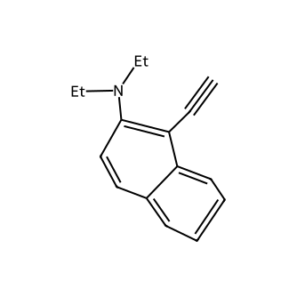 C#Cc1c(N(CC)CC)ccc2ccccc12